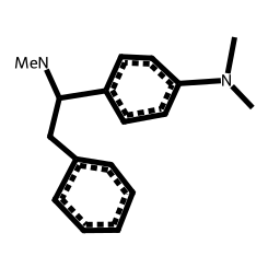 CNC(Cc1ccccc1)c1ccc(N(C)C)cc1